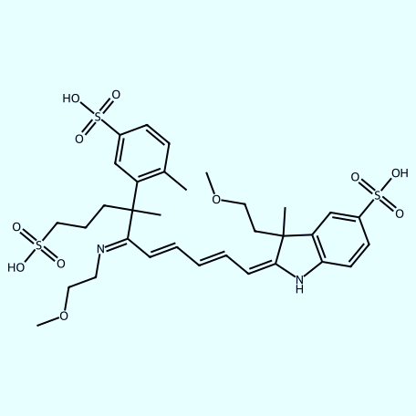 COCC\N=C(/C=C/C=C/C=C1/Nc2ccc(S(=O)(=O)O)cc2C1(C)CCOC)C(C)(CCCS(=O)(=O)O)c1cc(S(=O)(=O)O)ccc1C